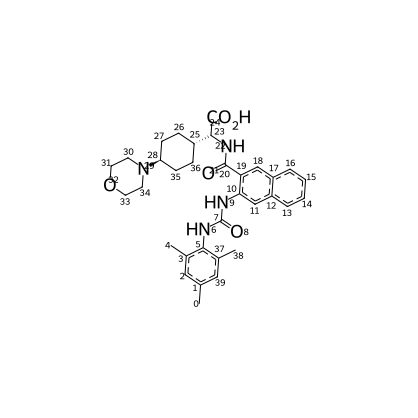 Cc1cc(C)c(NC(=O)Nc2cc3ccccc3cc2C(=O)NC(C(=O)O)[C@H]2CC[C@H](N3CCOCC3)CC2)c(C)c1